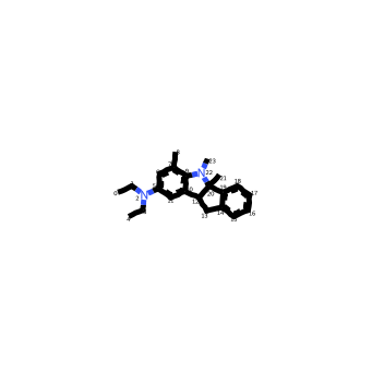 CCN(CC)c1cc(C)c2c(c1)C1Cc3ccccc3C1(C)N2C